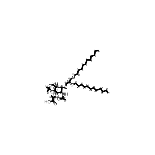 CCCCCCCCCCCCOCC(CO[C@@H]1O[C@@H]2COC(C)(C)O[C@H]2[C@H](OC(C)C(=O)O)[C@H]1NC(C)=O)OCCCCCCCCCCCC